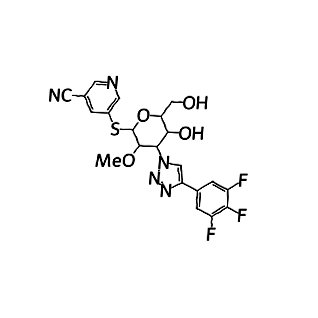 COC1C(Sc2cncc(C#N)c2)OC(CO)C(O)C1n1cc(-c2cc(F)c(F)c(F)c2)nn1